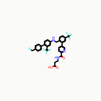 O=C(O)CCNC(=O)c1ccc(-c2cc(C(F)(F)F)ccc2CNc2ccc(-c3ccc(CF)cc3)c(C(F)(F)F)c2)cn1